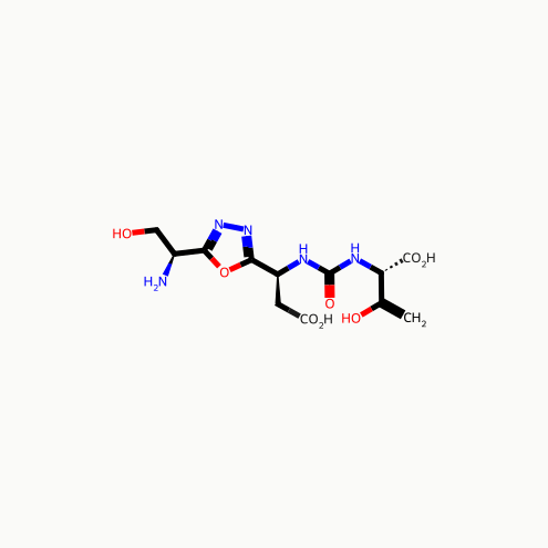 C=C(O)[C@H](NC(=O)N[C@@H](CC(=O)O)c1nnc([C@@H](N)CO)o1)C(=O)O